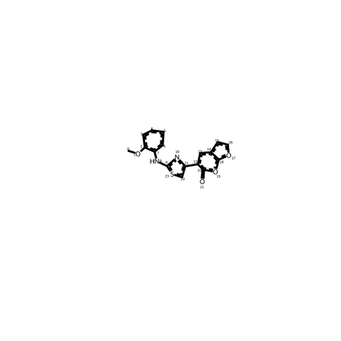 COc1ccccc1Nc1nc(-c2cc3ccoc3oc2=O)cs1